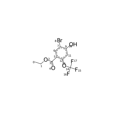 CCOC(=O)c1cc(Br)c(O)cc1OC(F)(F)F